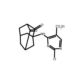 CCOC(=O)c1cnc(Cl)nc1NC12CC3CC(C1)C(=O)C(C3)C2=O